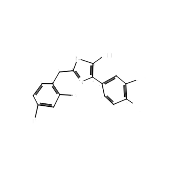 Cc1[nH]c(Cc2ccc(Br)cc2Br)nc1-c1ccc(Cl)c(Cl)c1